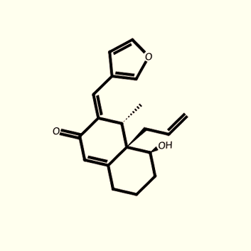 C=CC[C@@]12C(=CC(=O)/C(=C/c3ccoc3)[C@@H]1C)CCC[C@@H]2O